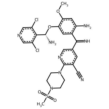 COc1cc(N)c(C(=N)c2cnc(N3CCN(S(C)(=O)=O)CC3)c(C#N)c2)cc1O[C@H](N)c1c(Cl)cncc1Cl